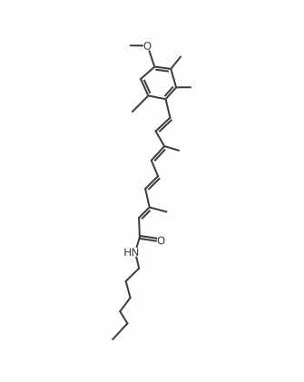 CCCCCCNC(=O)/C=C(C)/C=C/C=C(C)/C=C/c1c(C)cc(OC)c(C)c1C